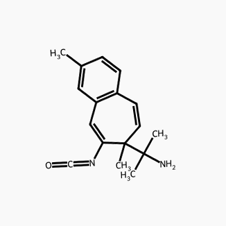 Cc1ccc2c(c1)C=C(N=C=O)C(C)(C(C)(C)N)C=C2